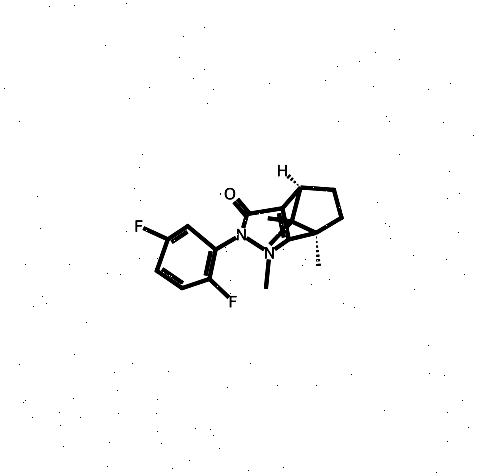 Cn1c2c(c(=O)n1-c1cc(F)ccc1F)[C@H]1CC[C@]2(C)C1(C)C